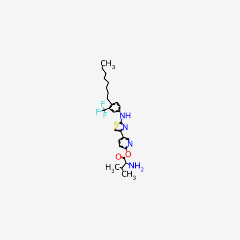 CCCCCCCCc1ccc(Nc2nc(-c3ccc(OC(=O)[C@@H](N)C(C)C)nc3)cs2)cc1C(F)(F)F